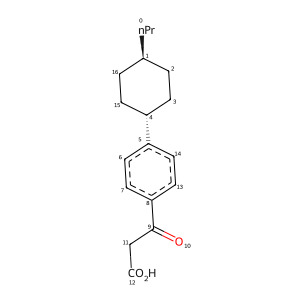 CCC[C@H]1CC[C@H](c2ccc(C(=O)CC(=O)O)cc2)CC1